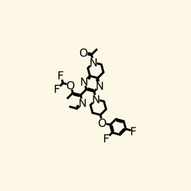 C/C=N\C(=C(/C)OC(F)F)c1nc2c(nc1N1CCC(Oc3ccc(F)cc3F)CC1)CCN(C(C)=O)C2